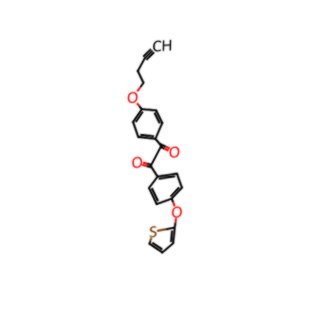 C#CCCOc1ccc(C(=O)C(=O)c2ccc(Oc3cccs3)cc2)cc1